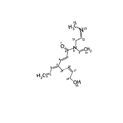 C=C/C=C(/C=C/C(=O)N(C=C)C/C=N\C)C/C=C\CO